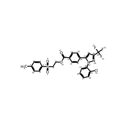 Cc1ccc(S(=O)(=O)CCOC(=O)c2ccc(-c3cc(C(F)(F)F)nn3-c3ccccc3Cl)cc2)cc1